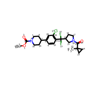 CC(C)(C)OC(=O)N1CCC(c2ccc(C(F)(F)C3CCN(C(=O)C4(C(F)(F)F)CC4)C3)c(Cl)c2)CC1